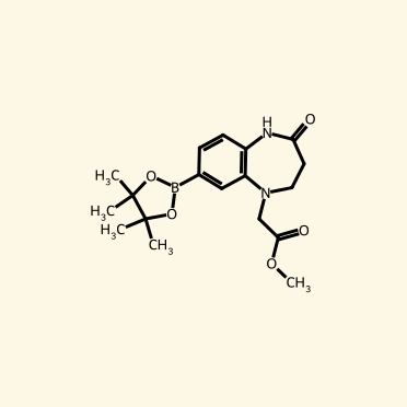 COC(=O)CN1CCC(=O)Nc2ccc(B3OC(C)(C)C(C)(C)O3)cc21